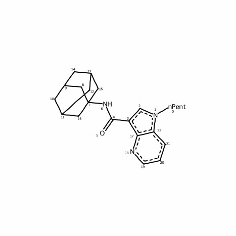 CCCCCn1cc(C(=O)NC23CC4CC(CC(C4)C2)C3)c2ncccc21